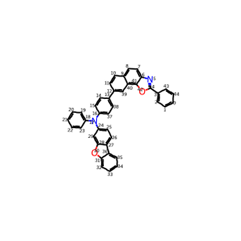 c1ccc(-c2nc3ccc4ccc(-c5ccc(N(c6ccccc6)c6ccc7c(c6)oc6ccccc67)cc5)cc4c3o2)cc1